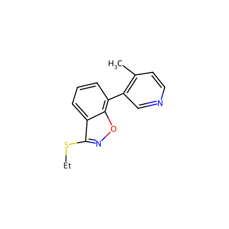 CCSc1noc2c(-c3cnccc3C)cccc12